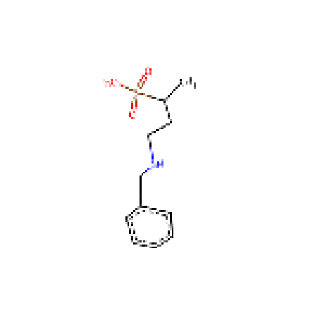 CC(CCNCc1ccccc1)S(=O)(=O)O